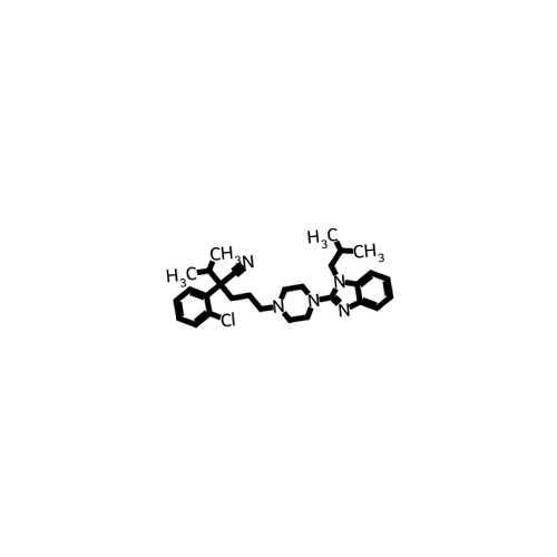 CC(C)Cn1c(N2CCN(CCCC(C#N)(c3ccccc3Cl)C(C)C)CC2)nc2ccccc21